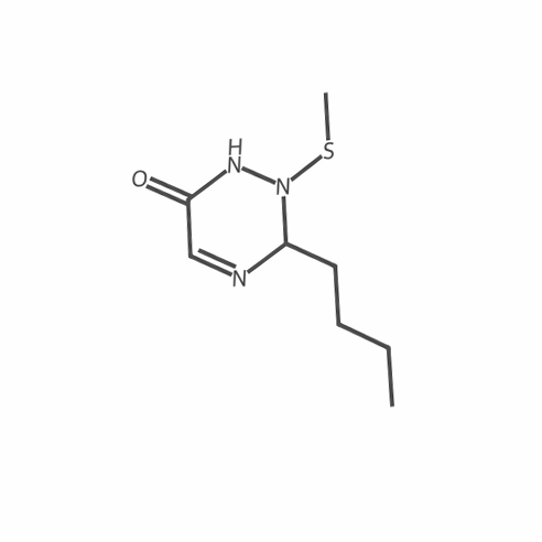 CCCCC1N=CC(=O)NN1SC